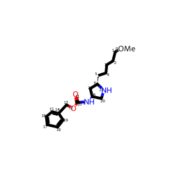 COCCCCC[C@H]1C[C@@H](NC(=O)OCc2ccccc2)CN1